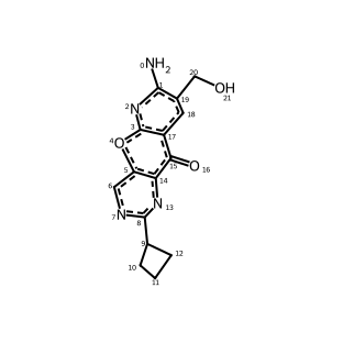 Nc1nc2oc3cnc(C4CCC4)nc3c(=O)c2cc1CO